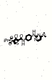 CC(C)S(=O)(=O)c1csc(C(=O)N[C@H]2CC[C@@H](Nc3nccc(N(C)C)n3)CC2)c1Cl